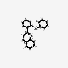 c1ccc([Se]c2ccccc2-c2ccc3ccccc3n2)cc1